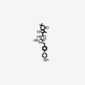 CCCC[C@H](NC(=O)c1[nH]c2c(c1C)C(=O)CC(C)(C)C2)C(=O)NCc1ccc(N2CCN(CCC)CC2)cc1